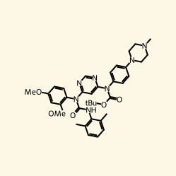 COc1ccc(N(C(=O)Nc2c(C)cccc2C)c2cc(N(C(=O)OC(C)(C)C)c3ccc(N4CCN(C)CC4)cc3)ncn2)c(OC)c1